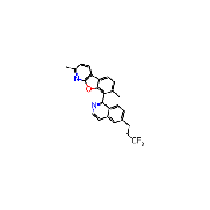 Cc1ccc2c(n1)oc1c(-c3nccc4cc(CCC(F)(F)F)ccc34)c(C)ccc12